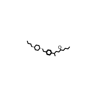 CCCCC([O])CCC(C)c1ccc(CC[C@H]2CC[C@H](CCCC)CC2)cc1